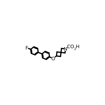 O=C(O)N1CC2(CC(Oc3ccc(-c4ccc(F)cc4)cc3)C2)C1